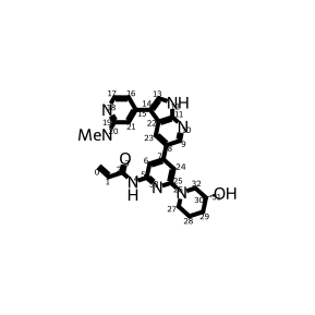 C=CC(=O)Nc1cc(-c2cnc3[nH]cc(-c4ccnc(NC)c4)c3c2)cc(N2CCC[C@@H](O)C2)n1